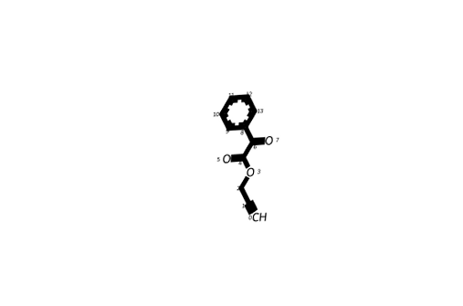 C#CCOC(=O)C(=O)c1ccccc1